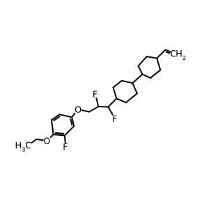 C=CC1CCC(C2CCC(C(F)C(F)COc3ccc(OCC)c(F)c3)CC2)CC1